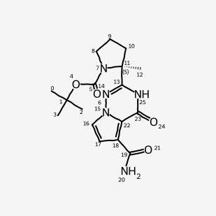 CC(C)(C)OC(=O)N1CCC[C@@]1(C)c1nn2ccc(C(N)=O)c2c(=O)[nH]1